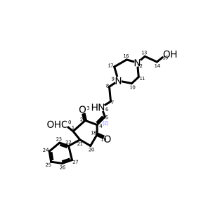 O=CC1C(=O)/C(=C\NCCN2CCN(CCO)CC2)C(=O)CC1c1ccccc1